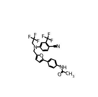 CC(=O)Nc1ccc(-c2ccc(CN(CC(F)(F)F)c3ccc(C#N)c(C(F)(F)F)c3)o2)cc1